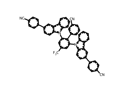 N#Cc1ccc(-c2ccc3c(c2)c2ccccc2n3-c2cc(C(F)(F)F)cc(-n3c4ccccc4c4cc(-c5ccc(C#N)cc5)ccc43)c2-c2cccc(C#N)c2)cc1